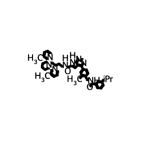 Cc1cc(-c2ncnc3[nH]c(C(=O)NCCCCN4[C@@H](c5ncccc5C)CCC[C@H]4c4ncccc4C)cc23)ccc1CNC(=O)c1cccc(C(C)C)c1